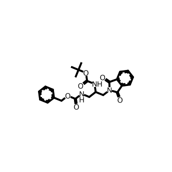 CC(C)(C)OC(=O)NC(CNC(=O)OCc1ccccc1)CN1C(=O)c2ccccc2C1=O